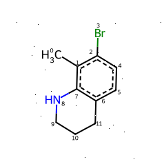 Cc1c(Br)ccc2c1NCCC2